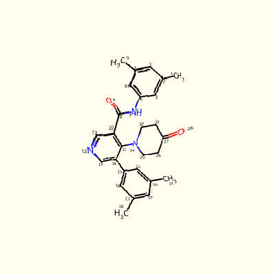 Cc1cc(C)cc(NC(=O)c2cncc(-c3cc(C)cc(C)c3)c2N2CCC(=O)CC2)c1